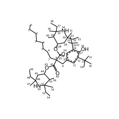 CCCCCCCCC(Cc1cc(C(C)(C)C)c(O)c(C(C)(C)C)c1)(C(=O)OC1CC(C)(CC)NC(C)(CC)C1C)C(=O)OC1CC(C)(CC)NC(C)(CC)C1C